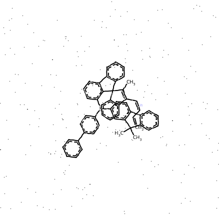 C=C/C=C\C1=C(C)C2(c3ccccc31)c1ccccc1-c1cccc(N(c3ccc(-c4ccccc4)cc3)c3ccc4c(c3)C(C)(C)c3ccccc3-4)c12